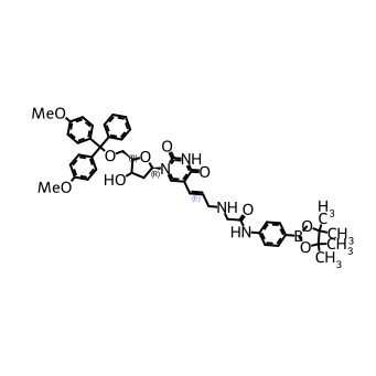 COc1ccc(C(OC[C@H]2O[C@@H](n3cc(/C=C/CNCC(=O)Nc4ccc(B5OC(C)(C)C(C)(C)O5)cc4)c(=O)[nH]c3=O)CC2O)(c2ccccc2)c2ccc(OC)cc2)cc1